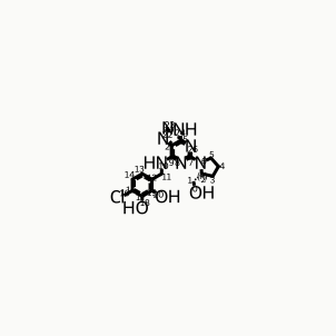 OC[C@H]1CCCN1c1nc(NCc2ccc(Cl)c(O)c2O)c2nn[nH]c2n1